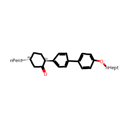 CCCCCCCOc1ccc(-c2ccc([C@@H]3CC[C@@H](CCCCC)CC3=O)cc2)cc1